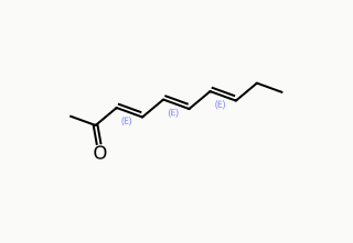 CC/C=C/C=C/C=C/C(C)=O